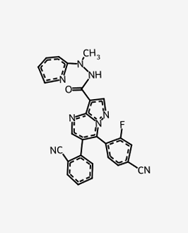 CN(NC(=O)c1cnn2c(-c3ccc(C#N)cc3F)c(-c3ccccc3C#N)cnc12)c1ccccn1